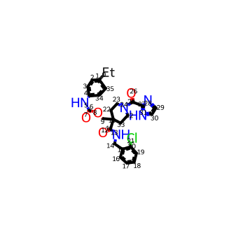 CCc1ccc(NC(=O)OCC2(C(=O)NCc3ccccc3Cl)CCN(C(=O)c3ncc[nH]3)CC2)cc1